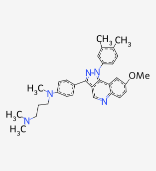 COc1ccc2ncc3c(-c4ccc(N(C)CCCN(C)C)cc4)nn(-c4ccc(C)c(C)c4)c3c2c1